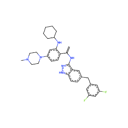 C=C(Nc1n[nH]c2ccc(Cc3cc(F)cc(F)c3)cc12)c1ccc(N2CCN(C)CC2)cc1NC1CCCCC1